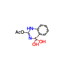 CC(=O)OC1=NS(O)(O)c2ccccc2N1